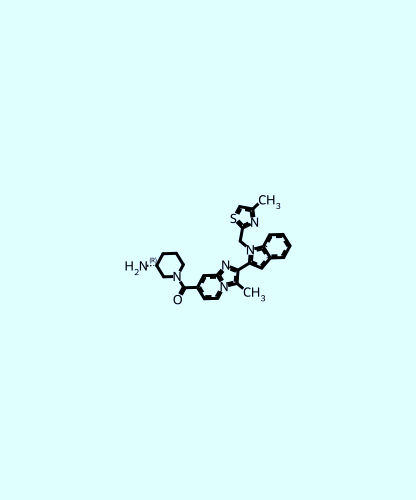 Cc1csc(Cn2c(-c3nc4cc(C(=O)N5CCC[C@@H](N)C5)ccn4c3C)cc3ccccc32)n1